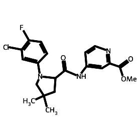 COC(=O)c1cc(NC(=O)C2CC(C)(C)CN2c2ccc(F)c(Cl)c2)ccn1